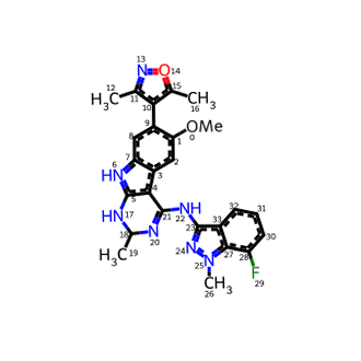 COc1cc2c3c([nH]c2cc1-c1c(C)noc1C)NC(C)N=C3Nc1nn(C)c2c(F)cccc12